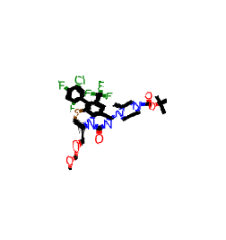 COCOC[C@H]1CSc2c(-c3cc(Cl)c(F)cc3F)c(C(F)(F)F)cc3c(N4CCN(C(=O)OC(C)(C)C)CC4C)nc(=O)n1c23